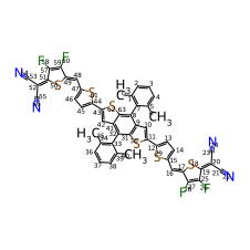 Cc1cccc(C)c1-c1c2cc(-c3ccc(/C=c4\sc(=C(C#N)C#N)c(F)c4F)s3)sc2c(-c2c(C)cccc2C)c2cc(-c3ccc(/C=c4\sc(=C(C#N)C#N)c(F)c4F)s3)sc12